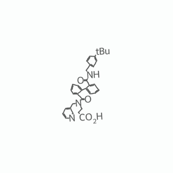 CC(C)(C)c1ccc(CNC(=O)c2ccccc2-c2ccccc2C(=O)N(CCC(=O)O)Cc2cccnc2)cc1